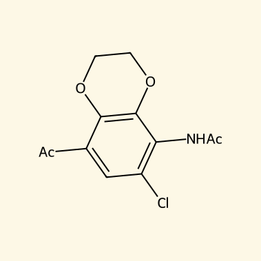 CC(=O)Nc1c(Cl)cc(C(C)=O)c2c1OCCO2